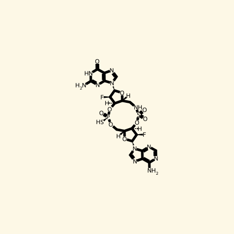 Nc1nc2c(ncn2[C@@H]2O[C@@H]3CNS(=O)(=O)O[C@H]4[C@@H](F)[C@H](n5cnc6c(N)ncnc65)O[C@@H]4CO[P@@](=O)(S)O[C@H]3[C@H]2F)c(=O)[nH]1